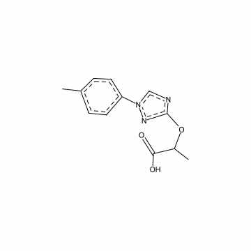 Cc1ccc(-n2cnc(OC(C)C(=O)O)n2)cc1